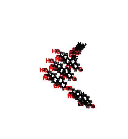 CC(=O)[O-].C[C@]12C=CC(=O)C=C1CCC1C2C(O)C[C@@]2(C)C1CC[C@]2(O)C(=O)CO.C[C@]12C=CC(=O)C=C1CCC1C2C(O)C[C@@]2(C)C1CC[C@]2(O)C(=O)CO.C[C@]12C=CC(=O)C=C1CCC1C2C(O)C[C@@]2(C)C1CC[C@]2(O)C(=O)CO.C[C@]12C=CC(=O)C=C1CC[C@@H]1C3CC[C@](O)(C(=O)CO)[C@@]3(C)CC(O)[C@H]12.O=P([O-])([O-])[O-].[Na+].[Na+].[Na+].[Na+]